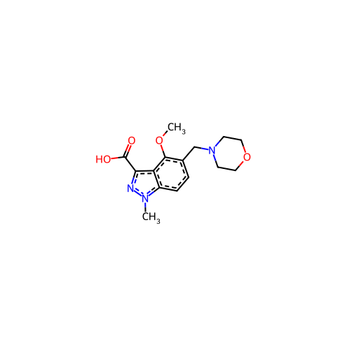 COc1c(CN2CCOCC2)ccc2c1c(C(=O)O)nn2C